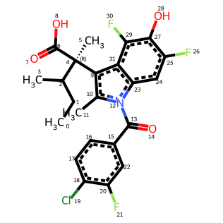 CCC(C)[C@@](C)(C(=O)O)c1c(C)n(C(=O)c2ccc(Cl)c(F)c2)c2cc(F)c(O)c(F)c12